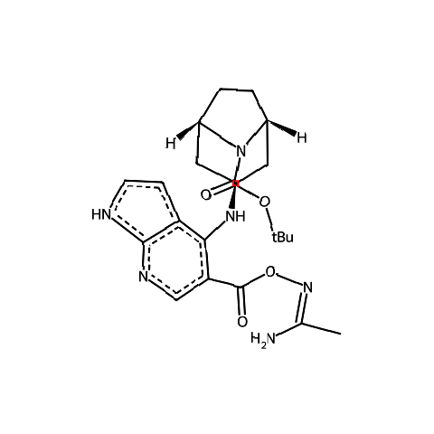 C/C(N)=N/OC(=O)c1cnc2[nH]ccc2c1N[C@@H]1C[C@H]2CC[C@@H](C1)N2C(=O)OC(C)(C)C